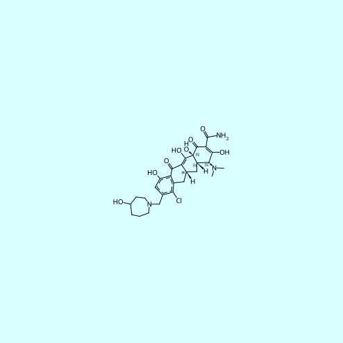 CN(C)[C@@H]1C(O)=C(C(N)=O)C(=O)[C@@]2(O)C(O)=C3C(=O)c4c(O)cc(CN5CCCC(O)CC5)c(Cl)c4C[C@H]3C[C@@H]12